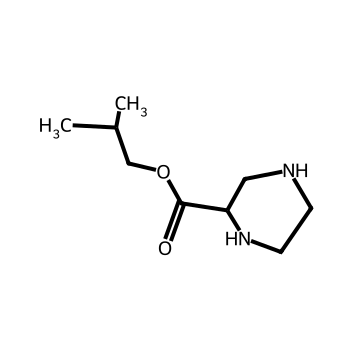 CC(C)COC(=O)C1CNCCN1